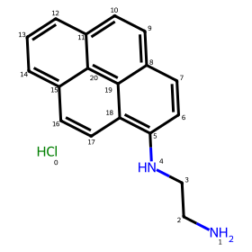 Cl.NCCNc1ccc2ccc3cccc4ccc1c2c34